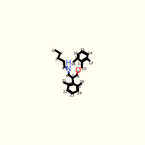 CCCCCNCC(COCc1c(C)cccc1C)c1c(C)cccc1C